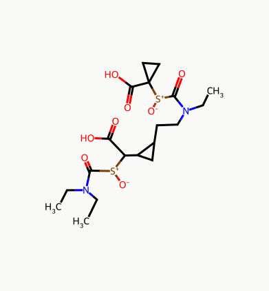 CCN(CC)C(=O)[S+]([O-])C(C(=O)O)C1CC1CCN(CC)C(=O)[S+]([O-])C1(C(=O)O)CC1